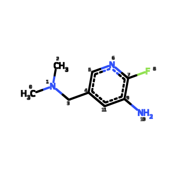 CN(C)Cc1cnc(F)c(N)c1